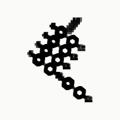 CC[C@H]1CC[C@H](c2ccc([S])cc2)CC1.CC[C@H]1CC[C@H](c2ccc([S])cc2)CC1.CC[C@H]1CC[C@H](c2ccc([S])cc2)CC1.CC[C@H]1CC[C@H](c2ccc([S])cc2)CC1.CC[C@H]1CC[C@H](c2ccc([S])cc2)CC1.F.F.F.F.F